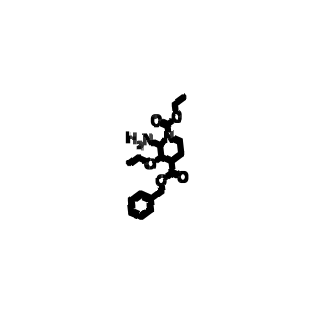 CCOC(=O)N1CCC(C(=O)OCc2ccccc2)C(OCC)C1N